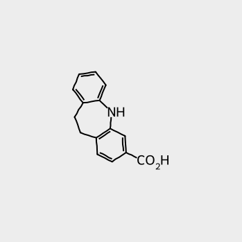 O=C(O)c1ccc2c(c1)Nc1ccccc1CC2